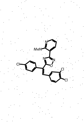 CNc1ncccc1-c1noc(/C(=C\c2ccc(Cl)c(Cl)c2)c2ccc(Cl)cc2)n1